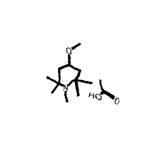 CC(=O)O.COC1CC(C)(C)N(C)C(C)(C)C1